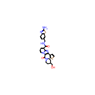 Nc1nc2ccc(CNC(=O)c3cccn4c(C(=O)N5CCC(CO)CC5)c(-c5ccsc5)nc34)cc2s1